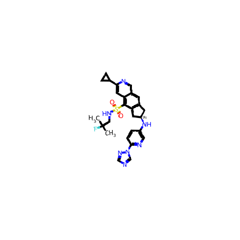 CC(C)(F)CNS(=O)(=O)c1c2c(cc3cnc(C4CC4)cc13)C[C@@H](Nc1ccc(-n3cncn3)nc1)C2